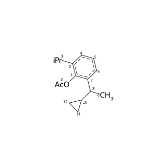 CC(=O)Oc1c(C(C)C)cccc1C(C)C1CC1